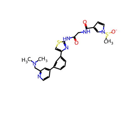 CN(C)Cc1cc(-c2cccc(-c3csc(NC(=O)CNC(=O)c4ccn([S+](C)[O-])c4)n3)c2)ccn1